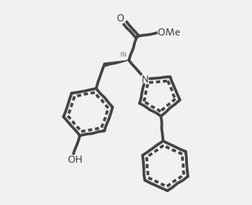 COC(=O)[C@H](Cc1ccc(O)cc1)n1ccc(-c2ccccc2)c1